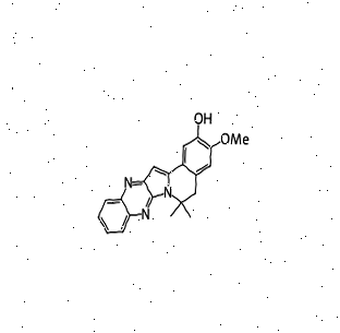 COc1cc2c(cc1O)-c1cc3nc4ccccc4nc3n1C(C)(C)C2